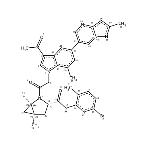 CC(=O)c1cn(CC(=O)N2[C@H](C(=O)Nc3nc(Br)ccc3C)C[C@@]3(C)C[C@@H]23)c2c(C)cc(-c3cnc4cc(C)nn4c3)cc12